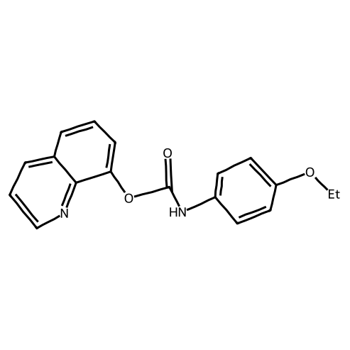 CCOc1ccc(NC(=O)Oc2cccc3cccnc23)cc1